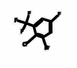 Fc1cc(Br)c(Cl)c(C(F)(F)F)c1